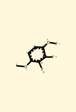 COc1ccc(OF)c(F)c1F